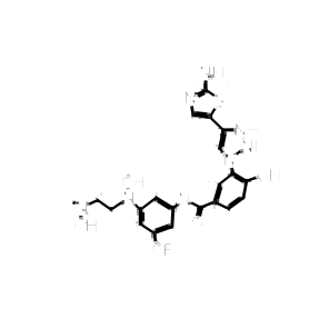 Cc1ccc(C(=O)Nc2cc(N(C)CCN(C)C)cc(C(F)(F)F)c2)cc1N1C=C(c2cnc(N)s2)NN1